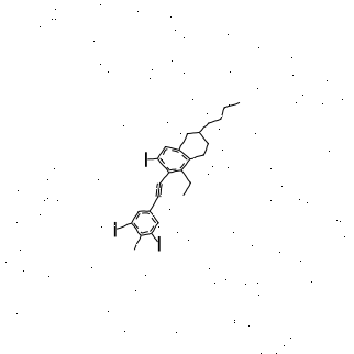 CCCCC1CCc2c(cc(I)c(C#Cc3cc(I)c(C)c(I)c3)c2CC)C1